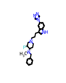 CN(Cc1ccccc1)[C@@H]1CCN(CCCc2c[nH]c3ccc(-n4cnnc4)cc23)C[C@@H]1F